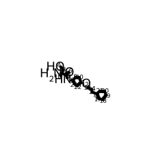 C[C@](N)(CO)C(=O)Nc1ccc(OCCCc2ccccc2)cc1